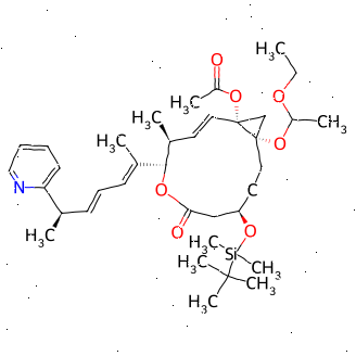 CCOC(C)O[C@]12CC[C@@H](O[Si](C)(C)C(C)(C)C)CC(=O)O[C@H](/C(C)=C/C=C/[C@@H](C)c3ccccn3)[C@@H](C)/C=C/[C@@]1(OC(C)=O)C2